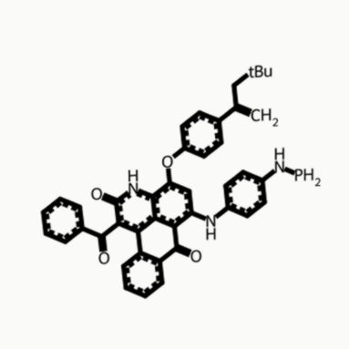 C=C(CC(C)(C)C)c1ccc(Oc2cc(Nc3ccc(NP)cc3)c3c4c(c(C(=O)c5ccccc5)c(=O)[nH]c24)-c2ccccc2C3=O)cc1